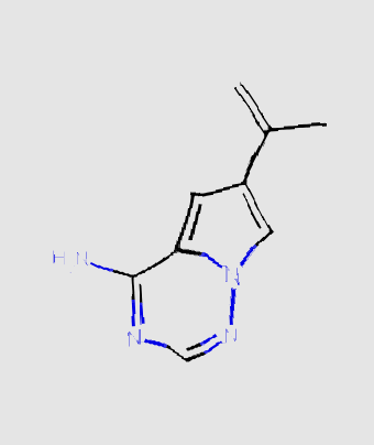 C=C(C)c1cc2c(N)ncnn2c1